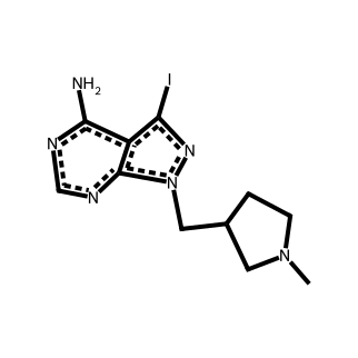 CN1CCC(Cn2nc(I)c3c(N)ncnc32)C1